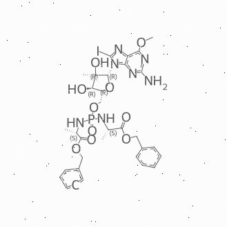 COc1nc(N)nc2c1nc(I)n2[C@@H]1O[C@H](COP(=O)(N[C@@H](C)C(=O)OCc2ccccc2)N[C@@H](C)C(=O)OCc2ccccc2)[C@@H](O)[C@@]1(C)O